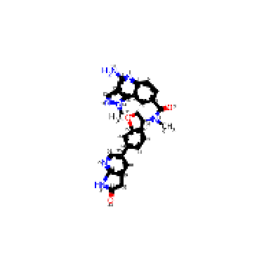 CN(C(=O)c1ccc2nc(N)c3cnn(C)c3c2c1)[C@@H]1COc2cc(-c3cnc4c(c3)CC(=O)N4)ccc21